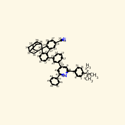 C[Si](C)(C)c1ccc(-c2cc(-c3cccc(-c4cccc5c4-c4cc(C#N)ccc4C54C5CC6CC(C5)CC4C6)c3)cc(-c3ccccc3)n2)cc1